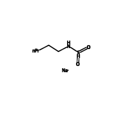 CCCCCN[SH](=O)=O.[Na]